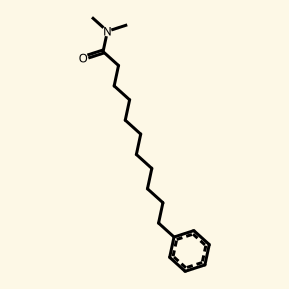 CN(C)C(=O)CCCCCCCCCCc1ccccc1